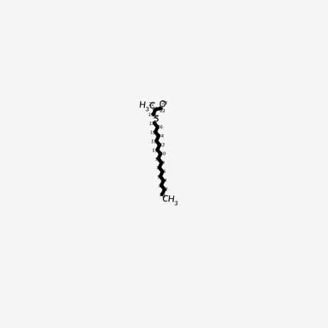 CCCCCCCCCCCCCCCCCCSCC(C)[C]=O